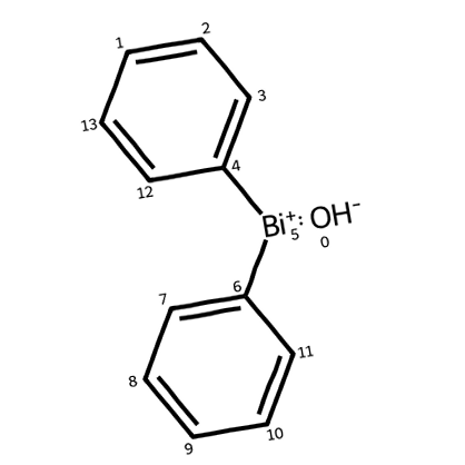 [OH-].c1cc[c]([Bi+][c]2ccccc2)cc1